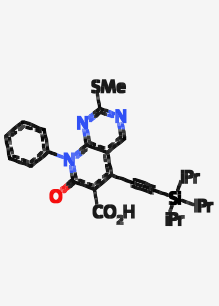 CSc1ncc2c(C#C[Si](C(C)C)(C(C)C)C(C)C)c(C(=O)O)c(=O)n(-c3ccccc3)c2n1